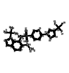 [2H]C([2H])([2H])n1ncc2cnc(OC)c(NS(=O)(=O)c3ccc(-n4cc(C(F)(F)F)cn4)nc3)c21